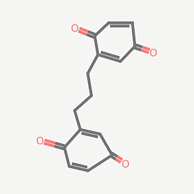 O=C1C=CC(=O)C(CCCC2=CC(=O)C=CC2=O)=C1